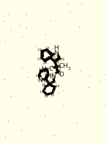 CC(C)(C(=O)NCC1(c2ccccn2)CCCCC1)c1c[nH]c2ccccc12